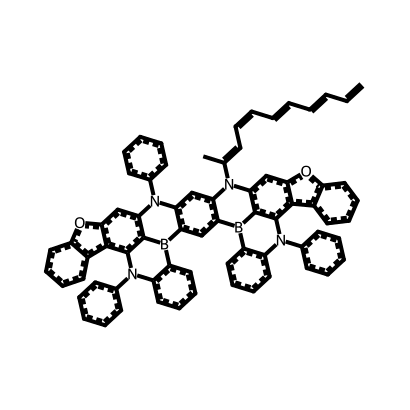 C=C/C=C/C=C/C=C\C=C(/C)N1c2cc3c(cc2B2c4ccccc4N(c4ccccc4)c4c2c1cc1oc2ccccc2c41)B1c2ccccc2N(c2ccccc2)c2c1c(cc1oc4ccccc4c21)N3c1ccccc1